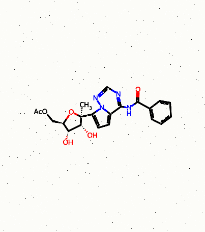 CC(=O)OC[C@H]1O[C@@](C)(c2ccc3c(NC(=O)c4ccccc4)ncnn23)[C@H](O)[C@@H]1O